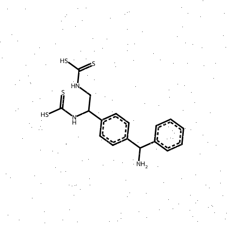 NC(c1cc[c]cc1)c1ccc(C(CNC(=S)S)NC(=S)S)cc1